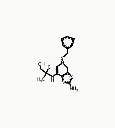 CC(C)(CO)NC1=CN(SCc2ccccc2)Cc2sc(N)nc21